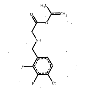 C=C(C)OC(=O)CNCc1ccc(CC)c(F)c1F